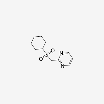 O=S(=O)(Cc1ncccn1)C1CCCCC1